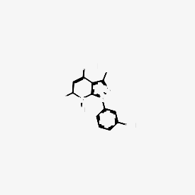 CCOC(=O)C1=CC(O)N(C)c2c1c(C(C)C)nn2-c1cccc(C)c1